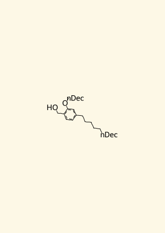 CCCCCCCCCCCCCCCc1ccc(CO)c(OCCCCCCCCCC)c1